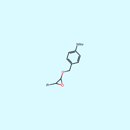 CNc1ccc(COC2OC2C(C)C)cc1